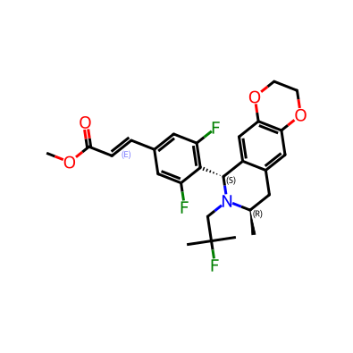 COC(=O)/C=C/c1cc(F)c([C@@H]2c3cc4c(cc3C[C@@H](C)N2CC(C)(C)F)OCCO4)c(F)c1